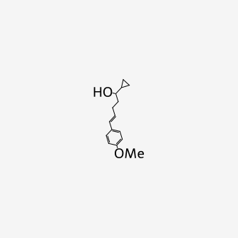 COc1ccc(C=CCCC(O)C2CC2)cc1